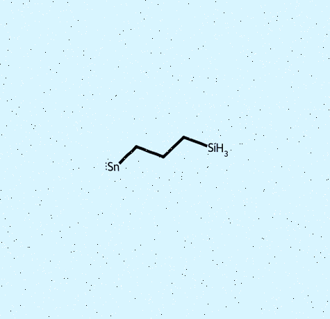 [SiH3]CC[CH2][Sn]